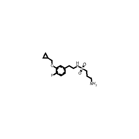 NCCCS(=O)(=O)NCCc1ccc(F)c(OCC2CC2)c1